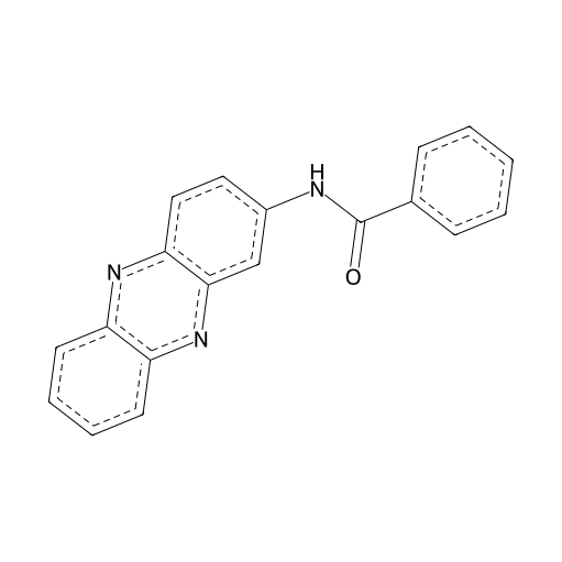 O=C(Nc1ccc2nc3ccccc3nc2c1)c1ccccc1